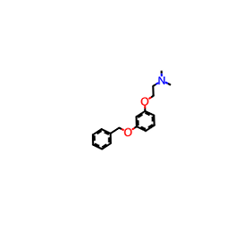 CN(C)CCOc1cccc(OCc2ccccc2)c1